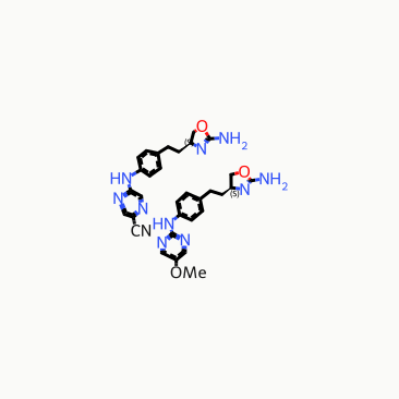 COc1cnc(Nc2ccc(CC[C@H]3COC(N)=N3)cc2)nc1.N#Cc1cnc(Nc2ccc(CC[C@H]3COC(N)=N3)cc2)cn1